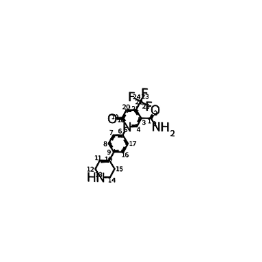 NC(=O)c1cn(-c2ccc(C3=CCNCC3)cc2)c(=O)cc1C(F)(F)F